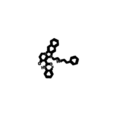 O=C1CCN2C(=C1C(=O)Nc1ccccc1F)N(CCNCCc1ccccc1)c1cc3ccccc3cc12